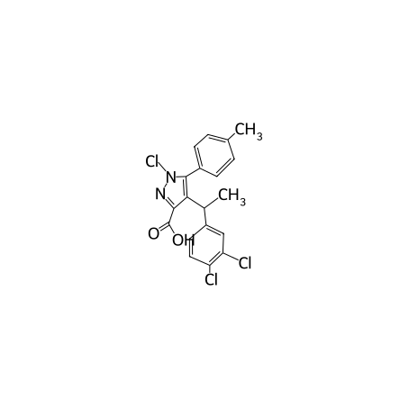 Cc1ccc(-c2c(C(C)c3ccc(Cl)c(Cl)c3)c(C(=O)O)nn2Cl)cc1